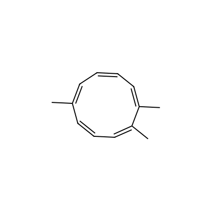 Cc1ccccc(C)c(C)ccc1